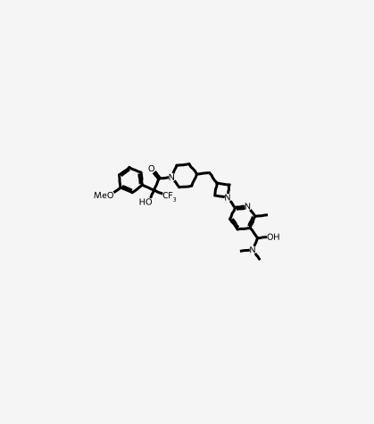 COc1cccc(C(O)(C(=O)N2CCC(CC3CN(c4ccc(C(O)N(C)C)c(C)n4)C3)CC2)C(F)(F)F)c1